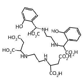 O=C(O)C(NCCNC(C(=O)O)c1ccccc1O)c1ccccc1O.O=C(O)CC(NCCNC(CC(=O)O)C(=O)O)C(=O)O